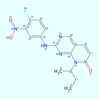 CCC(C)n1c(=O)ccc2cnc(Nc3ccc(F)c([N+](=O)[O-])c3)nc21